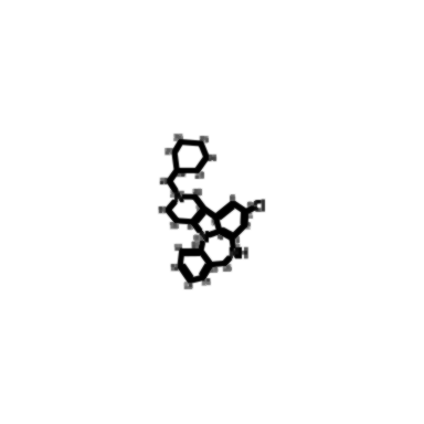 Clc1cc2c3c(c1)c1c(n3-c3ccccc3CN2)CCN(CC2CCCCC2)C1